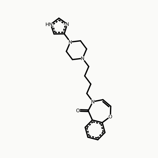 O=C1c2ccccc2OC=CN1CCCCN1CCN(c2c[nH]cn2)CC1